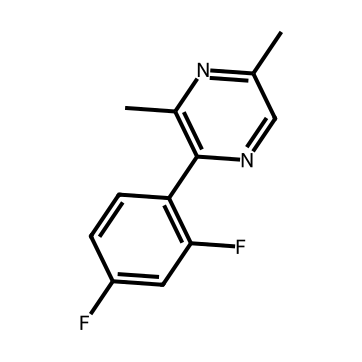 Cc1cnc(-c2ccc(F)cc2F)c(C)n1